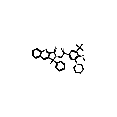 COc1c(N2CCCCC2)cc(C(=O)CN2C(=N)c3nc4ccccc4cc3C2(C)c2ccccc2)cc1C(C)(C)C